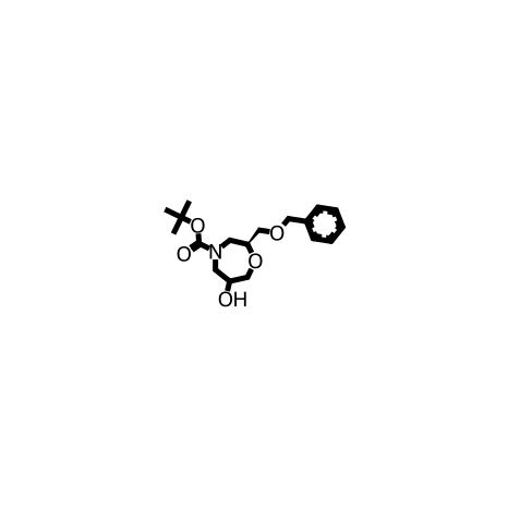 CC(C)(C)OC(=O)N1CC(O)CO[C@H](COCc2ccccc2)C1